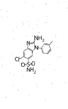 Cc1cccc(-n2c(N)nc3cc(Cl)c(S(N)(=O)=O)cc32)c1